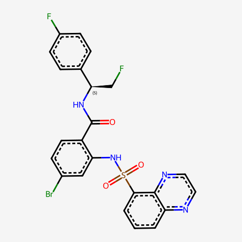 O=C(N[C@H](CF)c1ccc(F)cc1)c1ccc(Br)cc1NS(=O)(=O)c1cccc2nccnc12